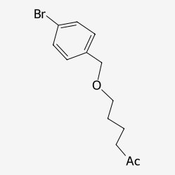 CC(=O)CCCCOCc1ccc(Br)cc1